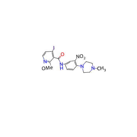 COc1nccc(I)c1C(=O)Nc1ccc(N2CCN(C)CC2)c([N+](=O)[O-])c1